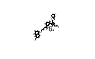 CCOC(=O)c1[nH]c2c(-c3c(CO[C@@H]4CCCCO4)nn(C)c3CC)c(Cl)ccc2c1CCCOc1cccc2cc(F)ccc12